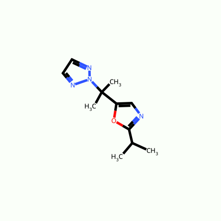 CC(C)c1ncc(C(C)(C)n2nccn2)o1